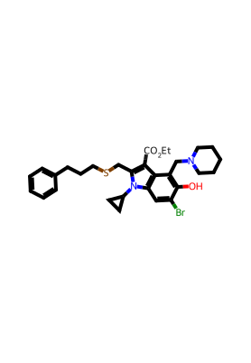 CCOC(=O)c1c(CSCCCc2ccccc2)n(C2CC2)c2cc(Br)c(O)c(CN3CCCCC3)c12